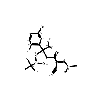 CN(C)C=C(C#N)C(=O)CC(N[S+]([O-])C(C)(C)C)(c1cc(Br)ccc1F)C(F)F